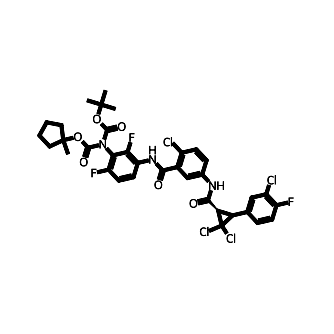 CC(C)(C)OC(=O)N(C(=O)OC1(C)CCCC1)c1c(F)ccc(NC(=O)c2cc(NC(=O)[C@H]3C(c4ccc(F)c(Cl)c4)C3(Cl)Cl)ccc2Cl)c1F